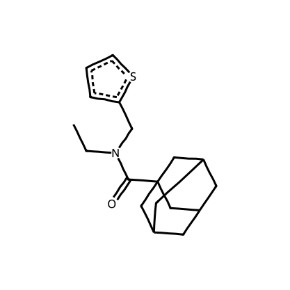 CCN(Cc1cccs1)C(=O)C12CC3CC(CC(C3)C1)C2